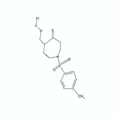 CCOOCC1CCN(S(=O)(=O)c2ccc(C)cc2)CCC1=O